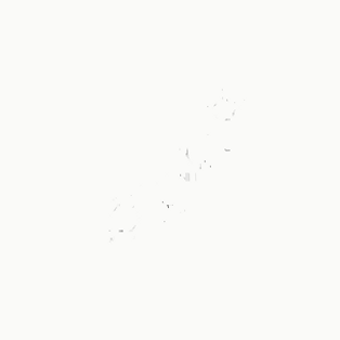 CC[C@H](Cc1ccsc1)NC(=O)NCC(Cc1ccc(O)cc1)N(C)C